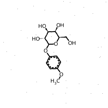 COc1ccc(OC2O[C@H](CO)[C@H](O)[C@H](O)[C@H]2O)cc1